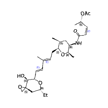 CC[C@@H]1C[C@]2(CO2)[C@@H](O)C(/C=C/C(C)=C/C[C@@H]2O[C@H](C)[C@H](NC(=O)/C=C\[C@H](C)OC(C)=O)C[C@@H]2C)O1